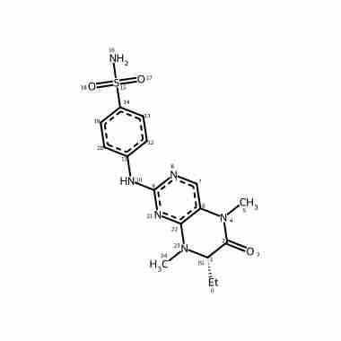 CC[C@H]1C(=O)N(C)c2cnc(Nc3ccc(S(N)(=O)=O)cc3)nc2N1C